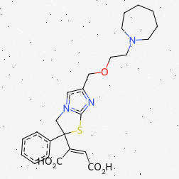 O=C(O)C=C(C(=O)O)C1(c2ccccc2)Cn2cc(COCCN3CCCCCC3)nc2S1